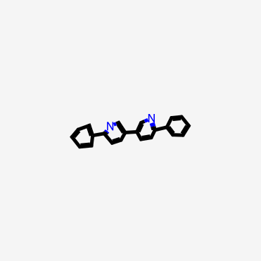 c1ccc(-c2ccc(-c3ccc(-c4ccccc4)nc3)cn2)cc1